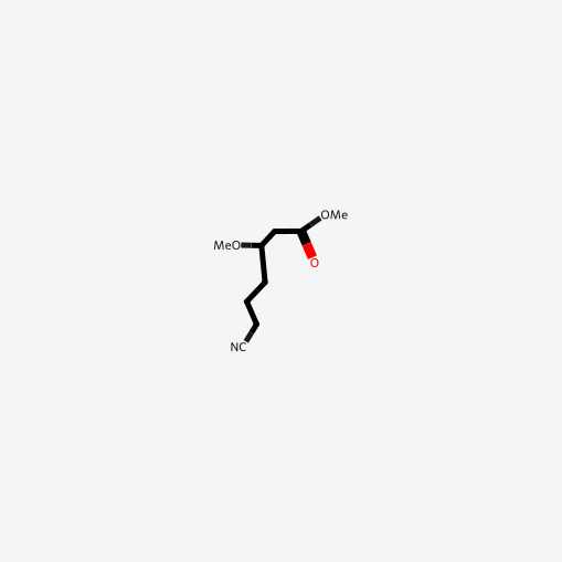 COC(=O)CC(CCCC#N)OC